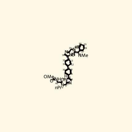 CCCN(Cc1ncc(-c2ccc(-c3ccc(-c4cnc(CN(CCC)C(=O)[C@H](NC)c5ccccc5)[nH]4)cc3)cc2)[nH]1)C(=O)CNC(=O)OC